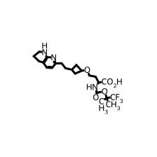 CC(C)(OC(=O)NC(CCOC1CC(CCc2ccc3c(n2)NCCC3)C1)C(=O)O)C(F)(F)F